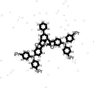 CC(C)c1ccc(N(c2ccc(C(C)C)cc2)c2ccc3c(c2)oc2c3c3cc(-c4ccccc4)cc4c5oc6cc(N(c7ccc(C(C)C)cc7)c7ccc(C(C)C)cc7)ccc6c5n2c43)cc1